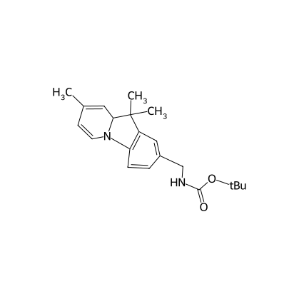 CC1=CC2N(C=C1)c1ccc(CNC(=O)OC(C)(C)C)cc1C2(C)C